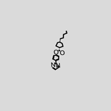 CCCCC[C@H]1CC[C@H](C(=O)Oc2ccc(-c3ncccn3)cc2)CC1